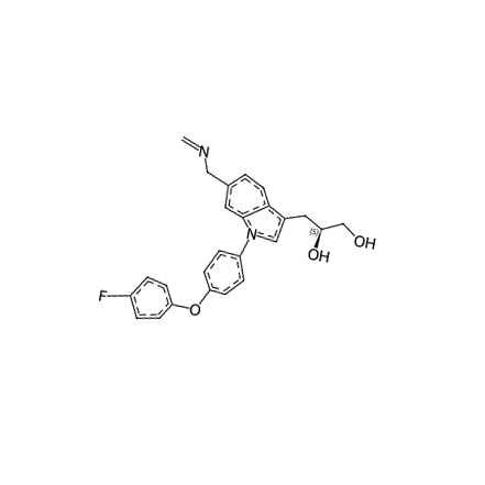 C=NCc1ccc2c(C[C@H](O)CO)cn(-c3ccc(Oc4ccc(F)cc4)cc3)c2c1